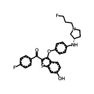 O=C(c1ccc(F)cc1)c1sc2cc(O)ccc2c1Oc1ccc(N[C@H]2CCN(CCCF)C2)cc1